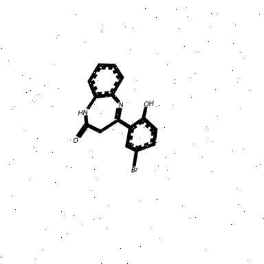 O=C1CC(c2cc(Br)ccc2O)=Nc2ccccc2N1